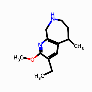 CCc1cc2c(nc1OC)CNCCC2C